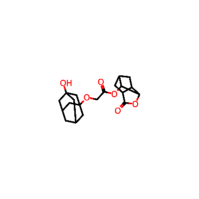 O=C(COC12CC3CC(CC(O)(C3)C1)C2)OC1C2CC3C(=O)OC1C3C2